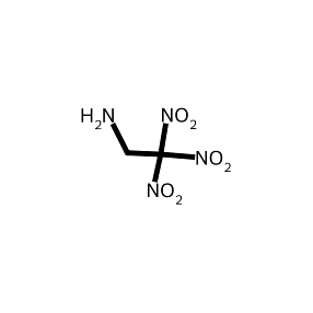 NCC([N+](=O)[O-])([N+](=O)[O-])[N+](=O)[O-]